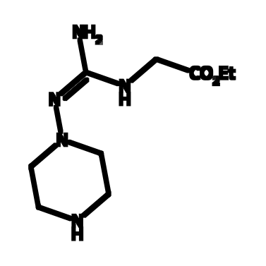 CCOC(=O)CNC(N)=NN1CCNCC1